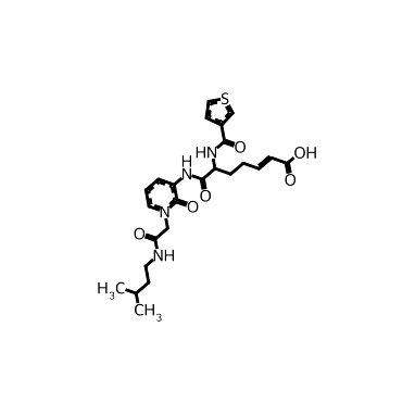 CC(C)CCNC(=O)Cn1cccc(NC(=O)C(CC/C=C/C(=O)O)NC(=O)c2ccsc2)c1=O